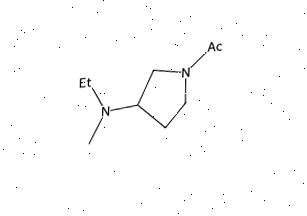 [CH2]CN(C)C1CCN(C(C)=O)C1